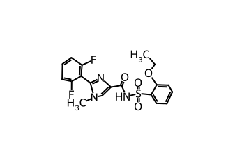 CCOc1ccccc1S(=O)(=O)NC(=O)c1cn(C)c(-c2c(F)cccc2F)n1